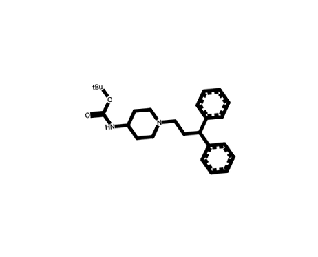 CC(C)(C)OC(=O)NC1CCN(CCC(c2ccccc2)c2ccccc2)CC1